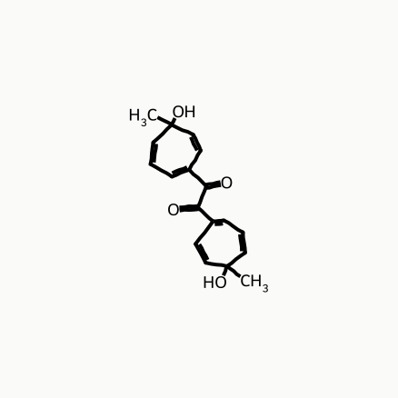 CC1(O)C=CC=C(C(=O)C(=O)C2=CC=CC(C)(O)C=C2)C=C1